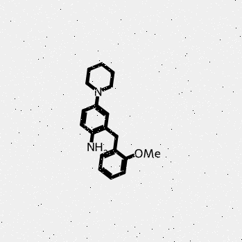 COc1ccccc1Cc1cc(N2CCCCC2)ccc1N